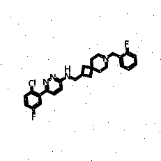 Fc1ccc(Cl)c(-c2ccc(NCC3CC4(CCN(Cc5ccccc5F)CC4)C3)nn2)c1